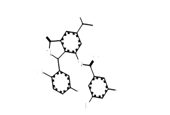 CC(O)c1cc(NC(=O)c2cc(F)cc(C(F)(F)F)c2)c2c(c1)C(=O)NC2c1cc(F)ccc1Cl